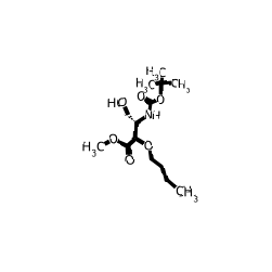 CCCCOC(C(=O)OC)[C@H](CO)NC(=O)OC(C)(C)C